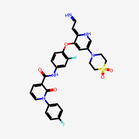 N=C/C=C1\NC=C(N2CCS(=O)(=O)CC2)C=C1Oc1ccc(NC(=O)c2cccn(-c3ccc(F)cc3)c2=O)cc1F